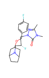 Cc1nn(C[C@H](F)CN2C3CCC2CC(OCc2ccc(F)cc2)C3)c(=O)n1C